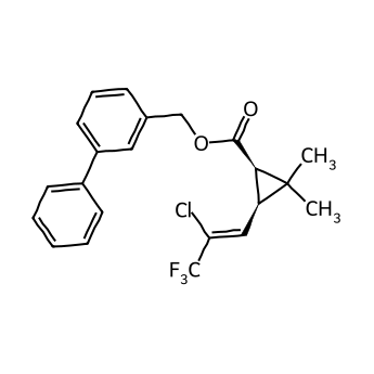 CC1(C)[C@H](C(=O)OCc2cccc(-c3ccccc3)c2)[C@@H]1C=C(Cl)C(F)(F)F